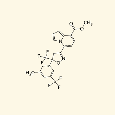 COC(=O)c1ccc(C2=NOC(c3cc(C)cc(C(F)(F)F)c3)(C(F)(F)F)C2)n2cccc12